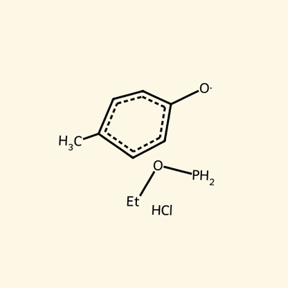 CCOP.Cc1ccc([O])cc1.Cl